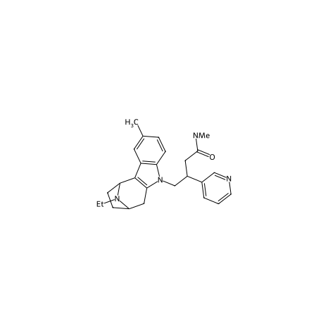 CCN1C2CCC1c1c(n(CC(CC(=O)NC)c3cccnc3)c3ccc(C)cc13)C2